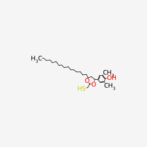 CCCCCCCCCCCCCCCCCCC(OC(=O)CS)c1cc(C)c(O)c(C)c1